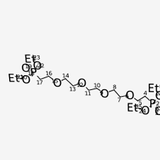 CCOP(=O)(CCOCCOCCOCCOCCP(=O)(OCC)OCC)OCC